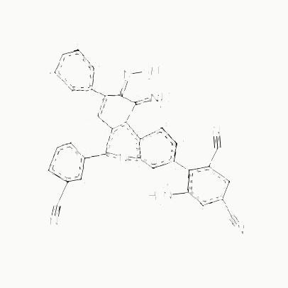 N#Cc1cccc(-c2nc3cc(-c4c(N)cc(C#N)cc4C#N)ccc3c3c2C=C(c2ccccc2)/C(=N/S)C3=N)c1